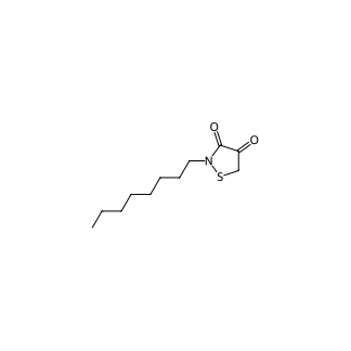 CCCCCCCCN1SCC(=O)C1=O